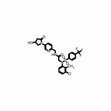 Cc1c(Cl)cccc1N(CC(=O)NCc1ccc(N2CC(O)CC2=O)cn1)S(=O)(=O)c1ccc(C(F)(F)F)cc1